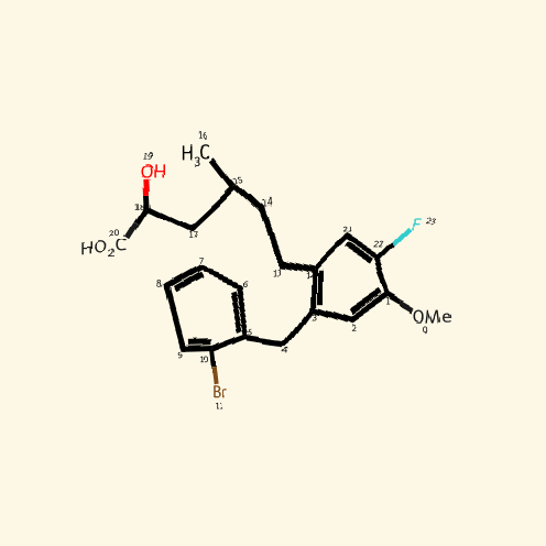 COc1cc(Cc2ccccc2Br)c(CCC(C)CC(O)C(=O)O)cc1F